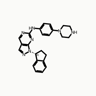 c1ccc2c(c1)CC[C@H]2n1ncc2cnc(Nc3ccc(N4CCNCC4)cc3)nc21